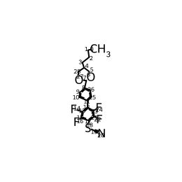 CCCCC1COC(c2ccc(-c3c(F)c(F)c(SC#N)c(F)c3F)cc2)OC1